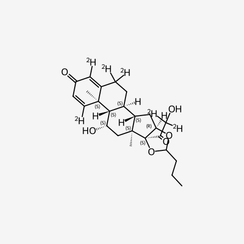 [2H]C1=CC(=O)C([2H])=C2C([2H])([2H])C[C@@H]3[C@H]([C@@H](O)C[C@@]4(C)[C@H]3C[C@H]3OC(CCC)O[C@]34C(=O)C([2H])([2H])O)[C@@]12C